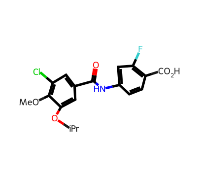 COc1c(Cl)cc(C(=O)Nc2ccc(C(=O)O)c(F)c2)cc1OC(C)C